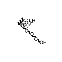 C=CC(=O)O.C=CC(=O)O.C=CC(=O)O.OCCOCCOCCOCCO